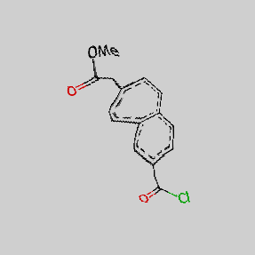 COC(=O)c1ccc2ccc(C(=O)Cl)cc2c1